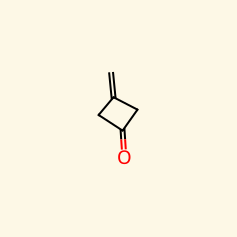 C=C1CC(=O)C1